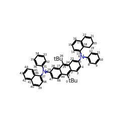 CC(C)(C)c1c2ccc(N(c3ccccc3)c3cccc4c3CCC=C4)cc2c(C(C)(C)C)c2cc(N(c3ccccc3)c3cccc4ccccc34)ccc12